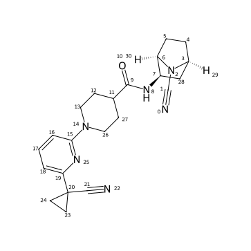 N#CN1[C@H]2CC[C@@H]1[C@H](NC(=O)C1CCN(c3cccc(C4(C#N)CC4)n3)CC1)C2